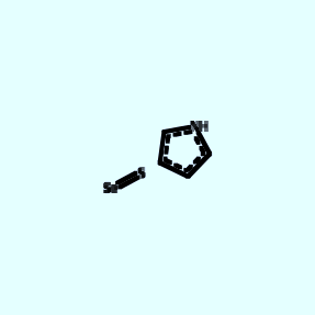 S=[Se].c1cc[nH]c1